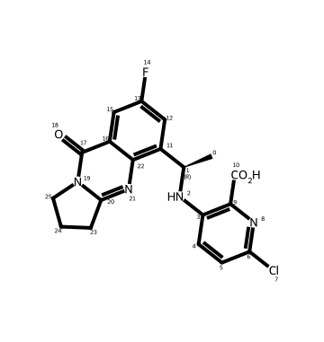 C[C@@H](Nc1ccc(Cl)nc1C(=O)O)c1cc(F)cc2c(=O)n3c(nc12)CCC3